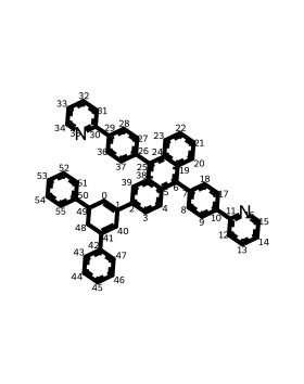 C1=C(c2ccc3c(-c4ccc(-c5ccccn5)cc4)c4ccccc4c(-c4ccc(-c5ccccn5)cc4)c3c2)C=C(c2ccccc2)CC1c1ccccc1